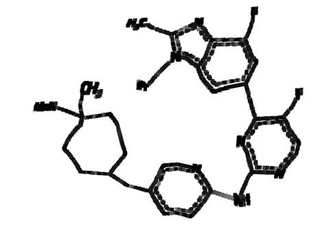 CNC1(C)CCC(Cc2ccc(Nc3ncc(F)c(-c4cc(F)c5nc(C)n(C(C)C)c5c4)n3)nc2)CC1